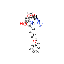 CC1(C)O[C@@H]2[C@H](O1)[C@@H](N=[N+]=[N-])CN(CCCCCCOCc1ccccc1)[C@H]2CO